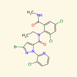 CCN(C(=O)c1cc(Br)nn1-c1ncccc1Cl)c1c(Cl)cc(Cl)cc1C(=O)NC